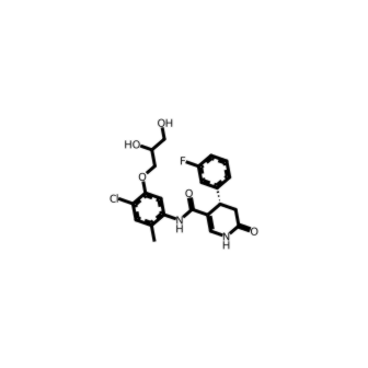 Cc1cc(Cl)c(OCC(O)CO)cc1NC(=O)C1=CNC(=O)C[C@H]1c1cccc(F)c1